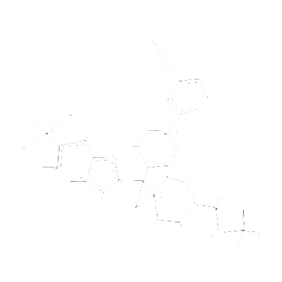 CC(C)(C)OC(=O)N1CCC2(CC1)CC2(c1ccc(-c2cccc(C#N)c2)cc1)c1nc2cc(F)c(C(F)(F)F)cc2[nH]1